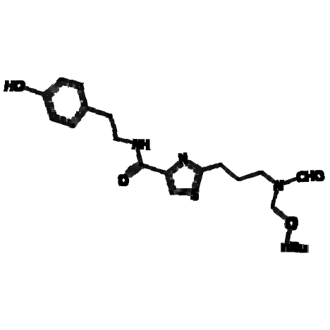 CCCCOCN(C=O)CCCc1nc(C(=O)NCCc2ccc(O)cc2)cs1